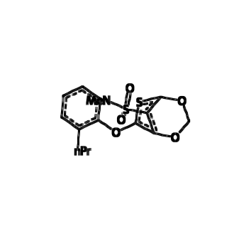 CCCc1ccccc1Oc1sc2c(S(=O)(=O)NC)c1OCO2